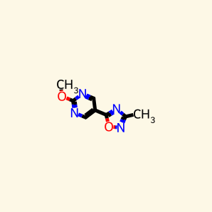 COc1ncc(-c2nc(C)no2)cn1